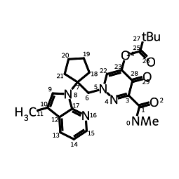 CNC(=O)c1nn(CC2(n3cc(C)c4cccnc43)CCCC2)cc(OC(=O)C(C)(C)C)c1=O